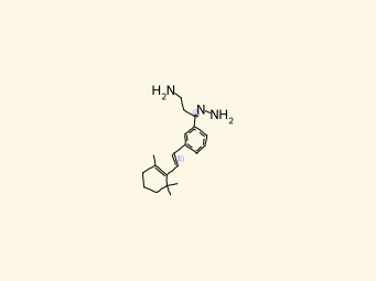 CC1=C(/C=C/c2cccc(/C(CCN)=N\N)c2)C(C)(C)CCC1